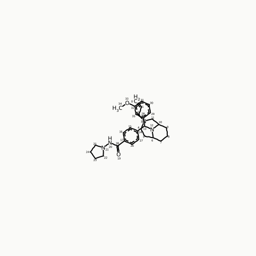 C=CCN1CCC2CCCC(C1)N2C(c1ccc(C(=O)NN2CCCC2)cc1)c1cccc(OC)c1